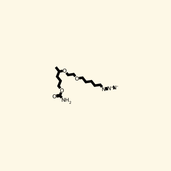 CC(CCCOC(N)=O)OCCOCCCCCN=[N+]=[N-]